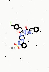 CS(=O)(=O)Nc1ccccc1N1CCN(C(=O)[C@@H](Cc2ccc(CF)cc2)NC(=O)[C@@H]2Cc3ccccc3CN2)CC1